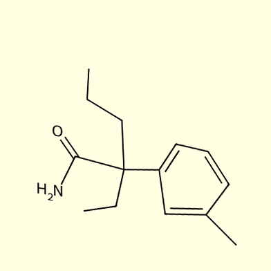 CCCC(CC)(C(N)=O)c1cccc(C)c1